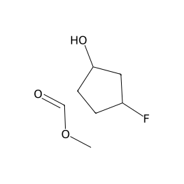 COC=O.OC1CCC(F)C1